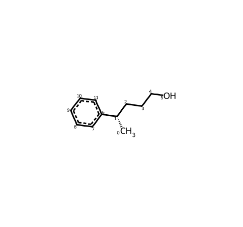 C[C@@H](CCCO)c1ccccc1